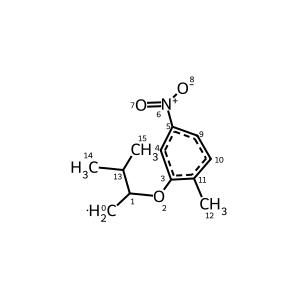 [CH2]C(Oc1cc([N+](=O)[O-])ccc1C)C(C)C